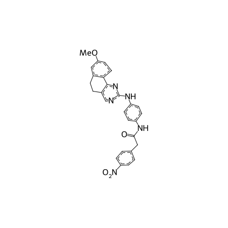 COc1ccc2c(c1)CCc1cnc(Nc3ccc(NC(=O)Cc4ccc([N+](=O)[O-])cc4)cc3)nc1-2